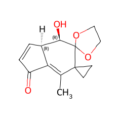 CC1=C2C(=O)C=C[C@H]2[C@@H](O)C2(OCCO2)C12CC2